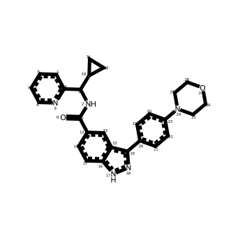 O=C(NC(c1ccccn1)C1CC1)c1ccc2[nH]nc(-c3ccc(N4CCOCC4)cc3)c2c1